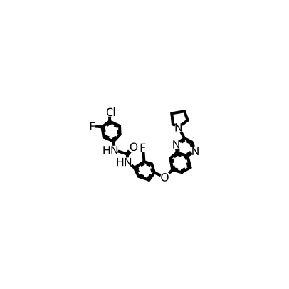 O=C(Nc1ccc(Cl)c(F)c1)Nc1ccc(Oc2ccc3ncc(N4CCCC4)nc3c2)cc1F